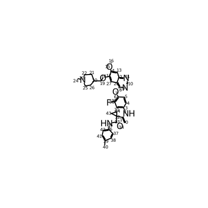 C=C(Nc1ccc(Oc2ncnc3cc(OC)c(OCC4CCN(C)CC4)cc23)c(F)c1)C1(C(=O)Nc2ccc(C)cc2)CC1